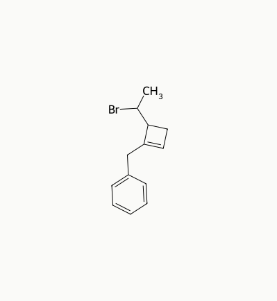 CC(Br)C1CC=C1Cc1ccccc1